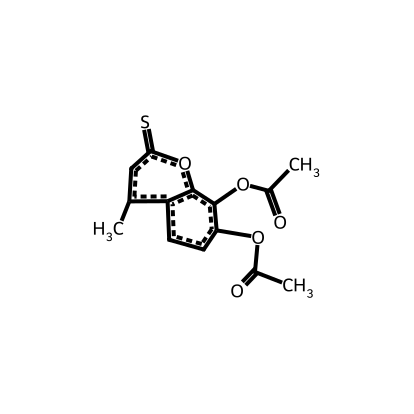 CC(=O)Oc1ccc2c(C)cc(=S)oc2c1OC(C)=O